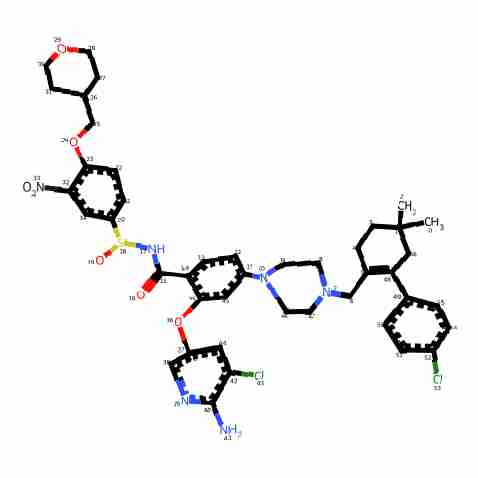 CC1(C)CCC(CN2CCN(c3ccc(C(=O)N[S+]([O-])c4ccc(OCC5CCOCC5)c([N+](=O)[O-])c4)c(Oc4cnc(N)c(Cl)c4)c3)CC2)=C(c2ccc(Cl)cc2)C1